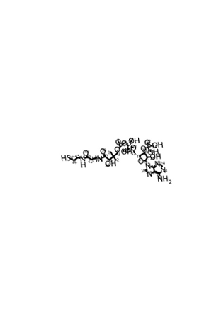 CC(C)(COP(=O)(O)OP(=O)(O)OC[C@H]1O[C@@H](n2cnc3c(N)ncnc32)C(O)C1OP(=O)(O)O)[C@@H](O)C(=O)NCCC(=O)NCCS